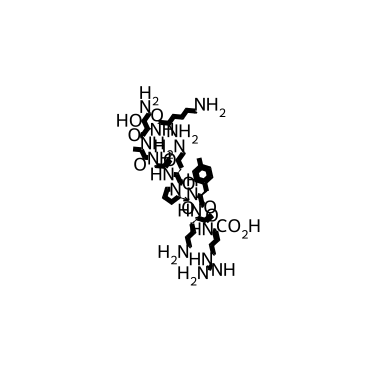 Cc1ccc(C[C@H](NC(=O)[C@@H]2CCCN2C(=O)[C@@H](CCCN)NC(=O)CNC(=O)C(C)NC(=O)[C@@H](NC(=O)[C@@H](N)CCCCN)[C@@H](O)CN)C(=O)N[C@@H](CCCCN)C(=O)N/C(=C\CCNC(=N)N)C(=O)O)cc1